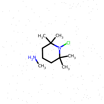 CC1(C)CCCC(C)(C)N1Cl.CN